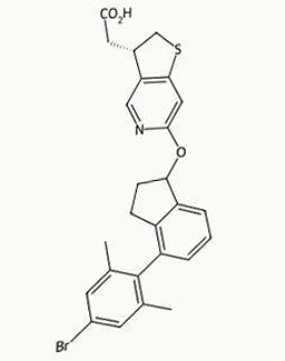 Cc1cc(Br)cc(C)c1-c1cccc2c1CCC2Oc1cc2c(cn1)[C@H](CC(=O)O)CS2